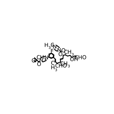 C/C(=C\c1cc(F)cc(N2CCN(C(=O)C3(C)COC3)CC2)c1)[C@@H](C=O)[C@@H](C)/C=C/[C@H](OC(=O)N1CCN(C)CC1)[C@@H](C)CC[C@@H](O)CC=O